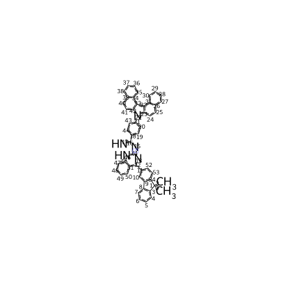 CC1(C)c2ccccc2-c2cc(-c3n/c(=N/C(=N)c4ccc(-n5c6ccc7ccccc7c6c6c7ccccc7ccc65)cc4)[nH]c4ccccc34)ccc21